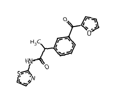 CC(C(=O)Nc1nccs1)c1cccc(C(=O)c2ccco2)c1